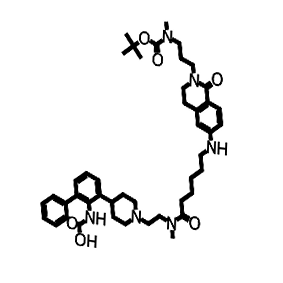 CN(CCN1CCC(c2cccc(-c3ccccc3)c2NC(=O)O)CC1)C(=O)CCCCCNc1ccc2c(c1)CCN(CCCN(C)C(=O)OC(C)(C)C)C2=O